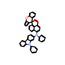 c1ccc(N(c2ccc3c4ccccc4n(-c4ccccc4)c3c2)c2ccc3c4c(cccc24)C2(c4ccccc4Oc4ccccc42)c2ccccc2-3)cc1